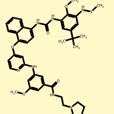 COc1cc(Nc2cc(Oc3ccc(NC(=O)Nc4cc(C(C)(C)C)cc(NSC)c4OC)c4ccccc34)ccn2)cc(C(=O)NCCN2CCCC2)c1